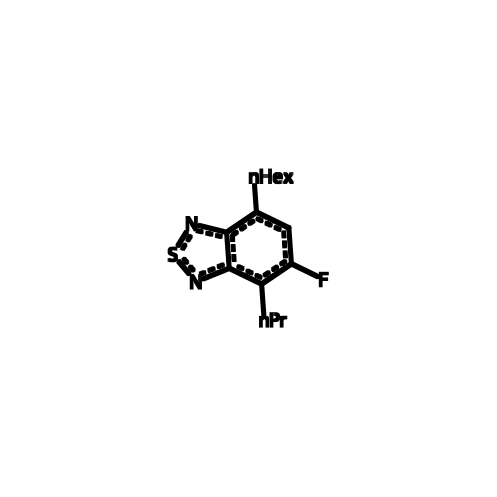 CCCCCCc1cc(F)c(CCC)c2nsnc12